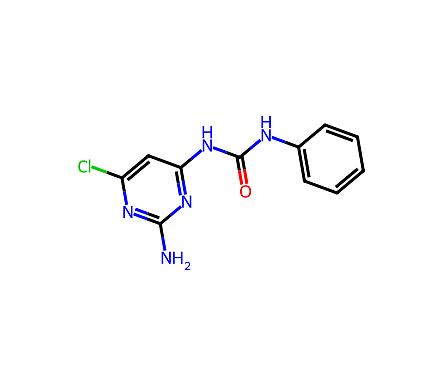 Nc1nc(Cl)cc(NC(=O)Nc2ccccc2)n1